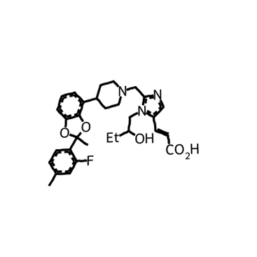 CCC(O)Cn1c(/C=C/C(=O)O)cnc1CN1CCC(c2cccc3c2OC(C)(c2ccc(C)cc2F)O3)CC1